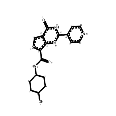 O=C(NC1CCC(O)CC1)c1scc2c(=O)[nH]c(-c3ccncc3)nc12